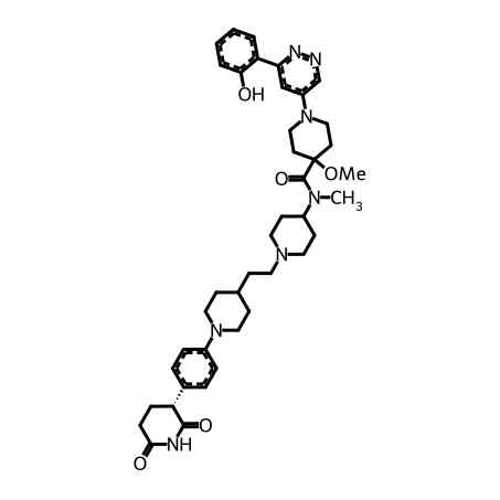 COC1(C(=O)N(C)C2CCN(CCC3CCN(c4ccc([C@H]5CCC(=O)NC5=O)cc4)CC3)CC2)CCN(c2cnnc(-c3ccccc3O)c2)CC1